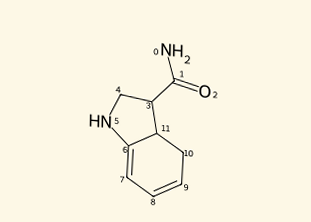 NC(=O)C1CNC2=CC=CCC21